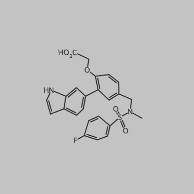 CN(Cc1ccc(OCC(=O)O)c(-c2ccc3cc[nH]c3c2)c1)S(=O)(=O)c1ccc(F)cc1